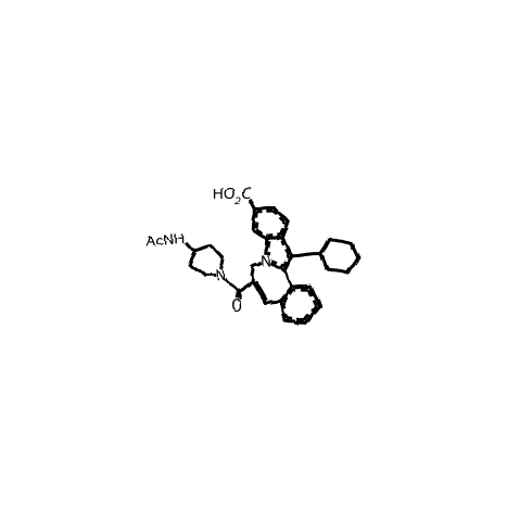 CC(=O)NC1CCN(C(=O)C2=Cc3ccccc3-c3c(C4CCCCC4)c4ccc(C(=O)O)cc4n3C2)CC1